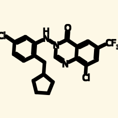 O=c1c2cc(C(F)(F)F)cc(Cl)c2ncn1Nc1cc(Cl)ccc1CC1CCCC1